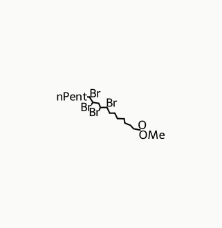 CCCCCC(Br)C(Br)CC(Br)C(Br)CCCCCCCC(=O)OC